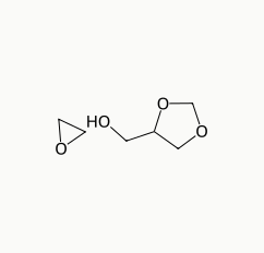 C1CO1.OCC1COCO1